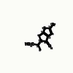 CC(C(=O)O)N1Cc2sc(Br)cc2C1=O